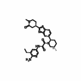 CCc1cc(NC(=O)C(=O)N2C[C@@H](C)CCC2c2ccc3sc(C4CCN(C)C(=O)C4)nc3c2)cnc1N